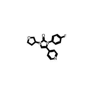 O=c1n(C2CCOC2)cc(-c2ccncc2)n1-c1ccc(F)cc1